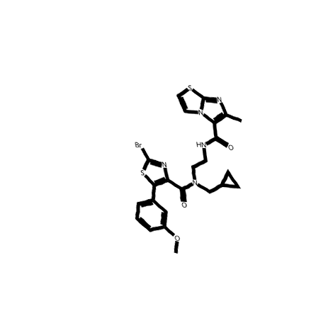 COc1cccc(-c2sc(Br)nc2C(=O)N(CCNC(=O)c2c(C)nc3sccn23)CC2CC2)c1